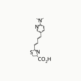 CN(C)c1ccc(/C=C/C=C/C2=NC(C(=O)O)CS2)cn1